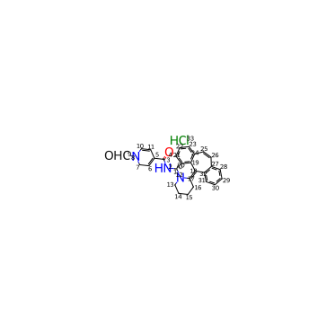 CC(NC(=O)C1=CCN(C=O)C=C1)N1CCCCC1=C1c2ccccc2C=Cc2ccccc21.Cl